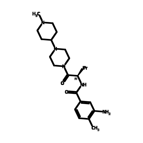 Cc1ccc(C(=O)N[C@@H](C(=O)N2CCN(C3CCN(C)CC3)CC2)C(C)C)cc1N